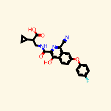 N#Cc1nc(C(=O)NCC(C(=O)O)C2CC2)c(O)c2ccc(Oc3ccc(F)cc3)cc12